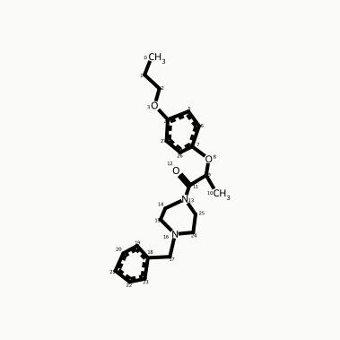 CCCOc1ccc(OC(C)C(=O)N2CCN(Cc3ccccc3)CC2)cc1